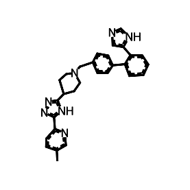 Cc1ccc(-c2nnc(C3CCN(Cc4ccc(-c5ccccc5-c5cnc[nH]5)cc4)CC3)[nH]2)nc1